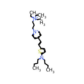 CCCCN(CCCC)c1ccc(/C=C/c2cc[n+](CCC[N+](CC)(CC)CC)cc2)s1